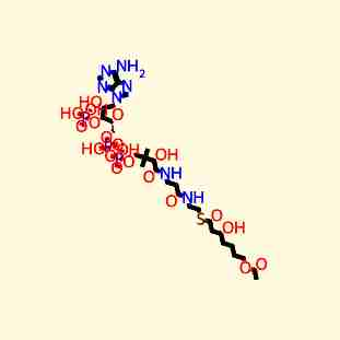 CC(=O)OCCCCC(O)CC(=O)SCCNC(=O)CCNC(=O)[C@H](O)C(C)(C)COP(=O)(O)OP(=O)(O)OC[C@H]1O[C@@H](n2cnc3c(N)ncnc32)[C@H](O)[C@@H]1OP(=O)(O)O